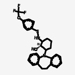 O[C@@H]1C(NSc2ccc(OC(F)(F)F)cc2)CCCC1N1c2ccccc2CCc2ccccc21